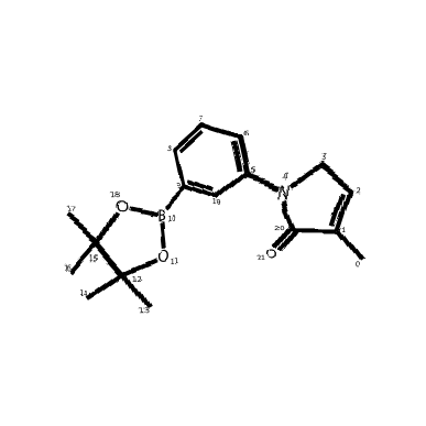 CC1=CCN(c2cccc(B3OC(C)(C)C(C)(C)O3)c2)C1=O